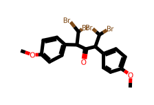 COc1ccc(C(C(=O)C(c2ccc(OC)cc2)C(Br)Br)C(Br)Br)cc1